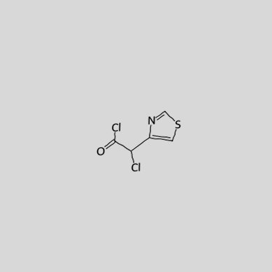 O=C(Cl)C(Cl)c1cscn1